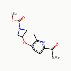 CNC(=O)c1ccc(OC2CN(C(=O)OC(C)(C)C)C2)c(C)n1